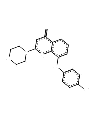 Cc1ccc(Oc2cccc3c(=O)cc(N4CCOCC4)[nH]c23)cc1